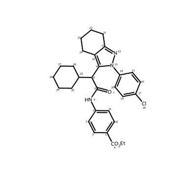 CCOC(=O)c1ccc(NC(=O)C(c2c3c(nn2-c2ccc(Cl)cc2)CCCC3)C2CCCCC2)cc1